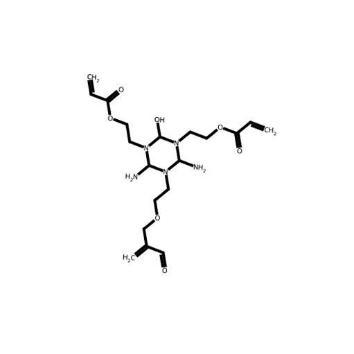 C=CC(=O)OCCN1C(N)N(CCOCC(=C)C=O)C(N)N(CCOC(=O)C=C)C1O